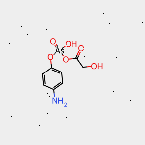 Nc1ccc(O[As](=O)(O)OC(=O)CO)cc1